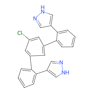 Clc1cc(-c2ccccc2-c2cn[nH]c2)cc(-c2ccccc2-c2cn[nH]c2)c1